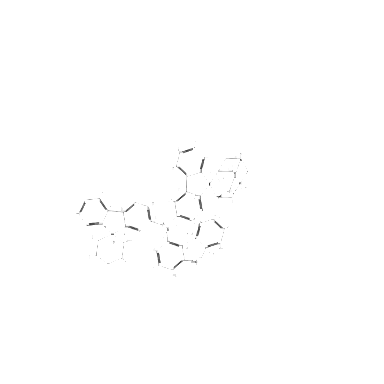 c1ccc2c(c1)-c1ccc(N(c3ccc4c(c3)-c3ccccc3C43C4CC5CC(C4)CC3C5)c3cccc4oc5ccccc5c34)cc1C21CCCCC1